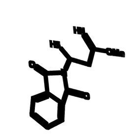 COC(=N)CC(S)N1C(=O)c2ccccc2C1=O